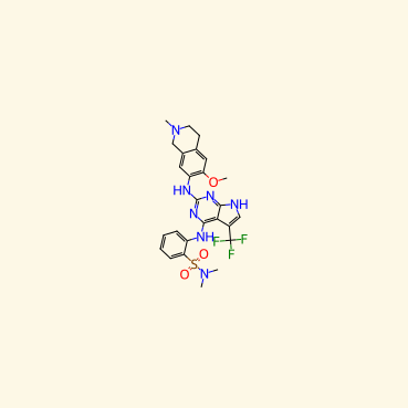 COc1cc2c(cc1Nc1nc(Nc3ccccc3S(=O)(=O)N(C)C)c3c(C(F)(F)F)c[nH]c3n1)CN(C)CC2